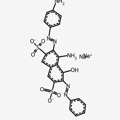 Nc1ccc(N=Nc2c(S(=O)(=O)[O-])cc3cc(S(=O)(=O)[O-])c(N=Nc4ccccc4)c(O)c3c2N)cc1.[Na+].[Na+]